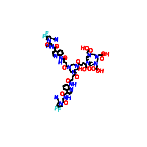 N#C[C@@H]1CC(F)(F)CN1C(=O)CNC(=O)c1ccnc2c(NC(=O)CCC(=O)N3CCN(C(=O)CCC(=O)Nc4cccc5c(C(=O)NCC(=O)N6CC(F)(F)C[C@H]6C#N)ccnc45)CCN(C(=O)CCC(C(=O)O)N4CCN(CC(=O)O)CCN(CC(=O)O)CCN(CC(=O)O)CC4)CC3)cccc12